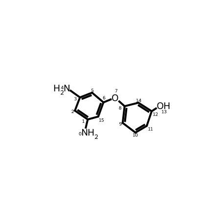 Nc1cc(N)cc(Oc2cccc(O)c2)c1